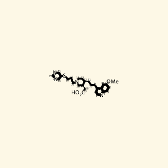 COc1ccc2nccc(CCC[C@@H]3CCN(CCCSc4cncnc4)C[C@@H]3CC(=O)O)c2c1